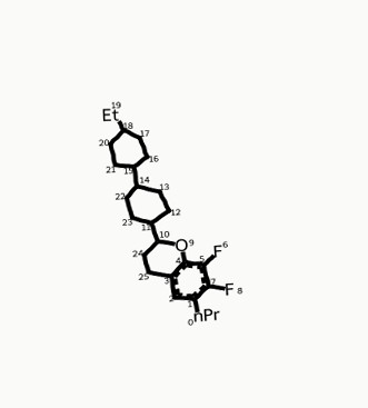 CCCc1cc2c(c(F)c1F)OC(C1CCC(C3CCC(CC)CC3)CC1)CC2